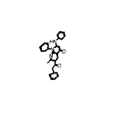 Cc1nc2c(cc1C(=O)Cc1ccccc1)c(=O)cc(Nc1ccccc1)n2-c1ccccc1